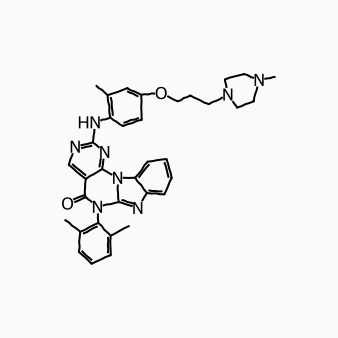 Cc1cc(OCCCN2CCN(C)CC2)ccc1Nc1ncc2c(=O)n(-c3c(C)cccc3C)c3nc4ccccc4n3c2n1